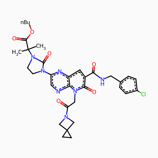 CCCCOC(=O)C(C)(C)N1CCN(c2cnc3c(cc(C(=O)NCc4ccc(Cl)cc4)c(=O)n3CC(=O)N3CC4(CC4)C3)n2)C1=O